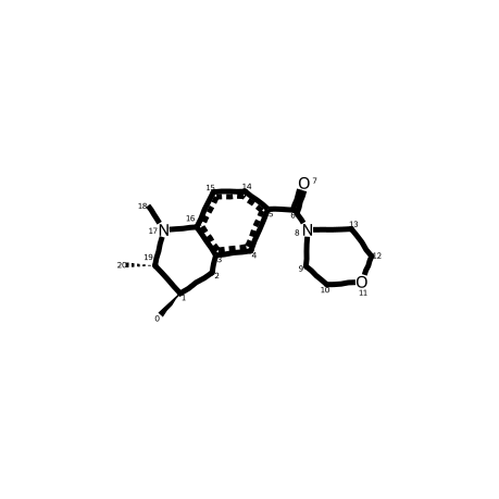 C[C@@H]1Cc2cc(C(=O)N3CCOCC3)ccc2N(C)[C@H]1C